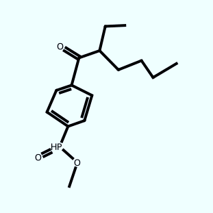 CCCCC(CC)C(=O)c1ccc([PH](=O)OC)cc1